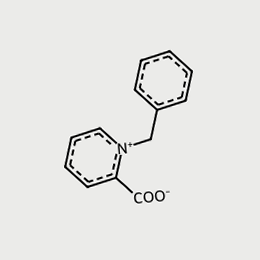 O=C([O-])c1cccc[n+]1Cc1ccccc1